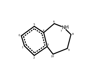 [c]1ccc2c(c1)CNCCC2